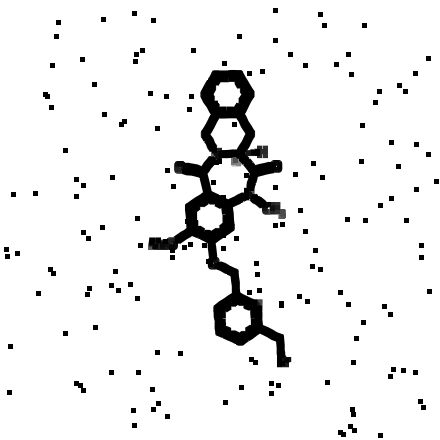 COc1cc2c(cc1OCc1cccc(CBr)n1)N(C)C(=O)[C@@H]1Cc3ccccc3CN1C2=O